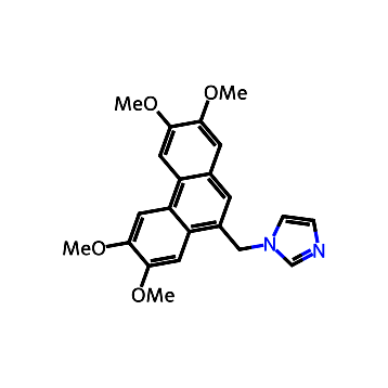 COc1cc2cc(Cn3ccnc3)c3cc(OC)c(OC)cc3c2cc1OC